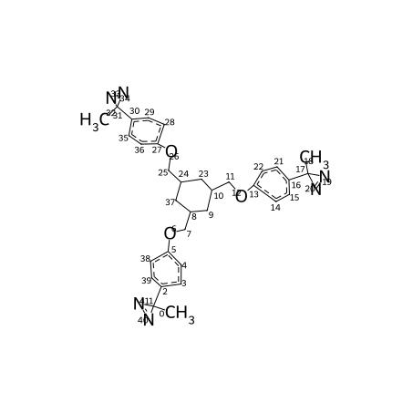 CC1(c2ccc(OCC3CC(COc4ccc(C5(C)N=N5)cc4)CC(COc4ccc(C5(C)N=N5)cc4)C3)cc2)N=N1